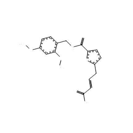 COc1ccc(CNC(=O)c2ccc(C/C=C/C(=O)O)s2)c(OC)c1